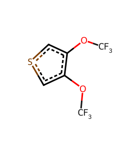 FC(F)(F)Oc1cscc1OC(F)(F)F